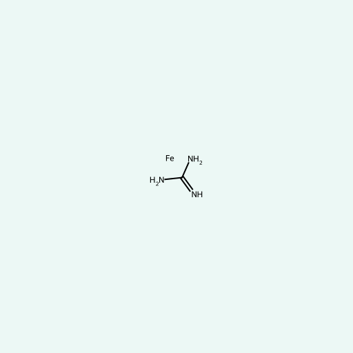 N=C(N)N.[Fe]